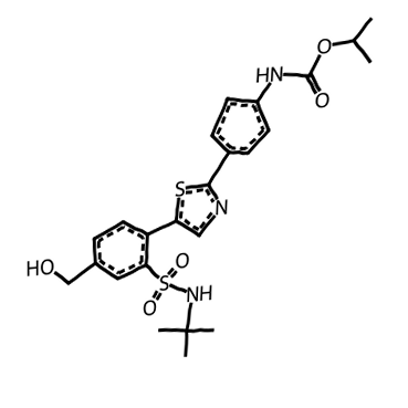 CC(C)OC(=O)Nc1ccc(-c2ncc(-c3ccc(CO)cc3S(=O)(=O)NC(C)(C)C)s2)cc1